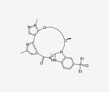 CCP(=O)(CC)c1ccc2c(c1)N1C[C@H](C)CCCOc3c(cnn3C)-c3cc(cc(C)n3)C(=O)/N=C/1N2